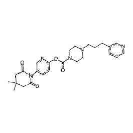 CC1(C)CC(=O)N(c2ccc(OC(=O)N3CCN(CCCc4cccnc4)CC3)nc2)C(=O)C1